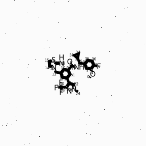 COc1cc([C@@H](NC(=O)c2cc(Cn3ccsc3=N)cc(-c3cn(C)nc3C(F)(F)F)c2)C2CC2)ccc1F